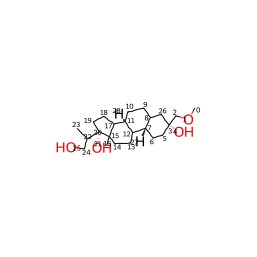 COC[C@@]1(O)CC[C@H]2C(CC[C@@H]3C2CCC2(C)C3CC[C@]2(O)C(C)CO)C1